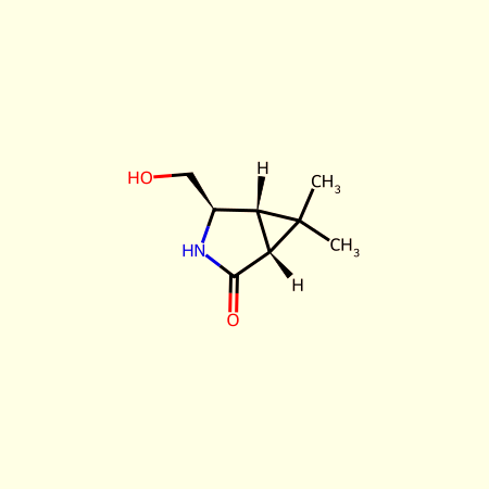 CC1(C)[C@H]2[C@H](CO)NC(=O)[C@H]21